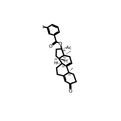 CC(=O)[C@@]1(OC(=O)c2cccc(I)c2)CC[C@H]2[C@@H]3CCC4=CC(=O)CC[C@]4(C)C3=CC[C@@]21C